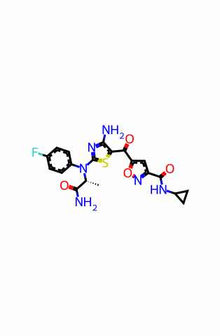 C[C@H](C(N)=O)N(c1ccc(F)cc1)c1nc(N)c(C(=O)c2cc(C(=O)NC3CC3)no2)s1